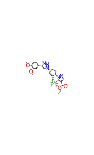 CCOC(=O)c1cnn(-c2ccc(-n3cc(-c4ccc(OC)c(OC)c4)nn3)cc2)c1C(F)(F)F